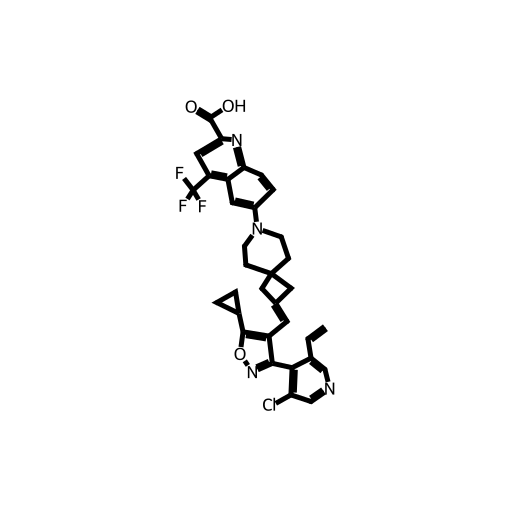 C=Cc1cncc(Cl)c1-c1noc(C2CC2)c1C=C1CC2(CCN(c3ccc4nc(C(=O)O)cc(C(F)(F)F)c4c3)CC2)C1